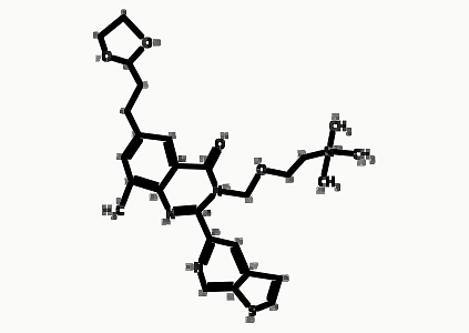 Cc1cc(CCC2OCCO2)cc2c(=O)n(COCC[Si](C)(C)C)c(-c3cc4ccsc4cn3)nc12